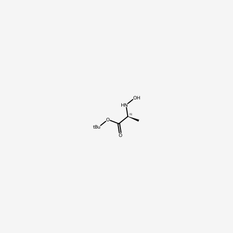 C[C@H](NO)C(=O)OC(C)(C)C